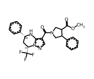 COC(=O)C1CN(C(=O)c2cnn3c2N[C@@H](c2ccccc2)C[C@H]3C(F)(F)F)CC1c1ccccc1